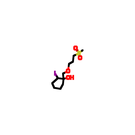 CS(=O)(=O)CCCOCC1(O)CCCCC1I